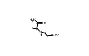 CNCCNC(C)C(N)=O